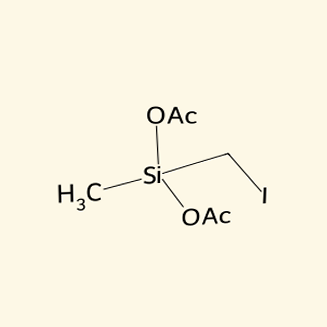 CC(=O)O[Si](C)(CI)OC(C)=O